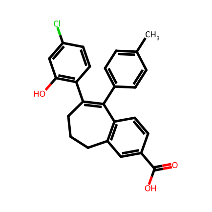 Cc1ccc(C2=C(c3ccc(Cl)cc3O)CCCc3cc(C(=O)O)ccc32)cc1